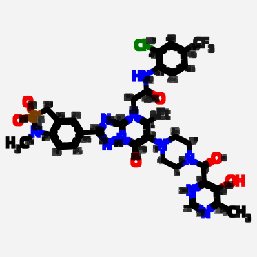 CCc1c(N2CCN(C(=O)c3ncnc(C)c3O)CC2)c(=O)n2nc(-c3ccc4c(c3)CS(=O)(=O)N4C)nc2n1CC(=O)Nc1ccc(C(F)(F)F)cc1Cl